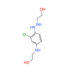 OCCNNc1ccc(NCCO)cc1Cl